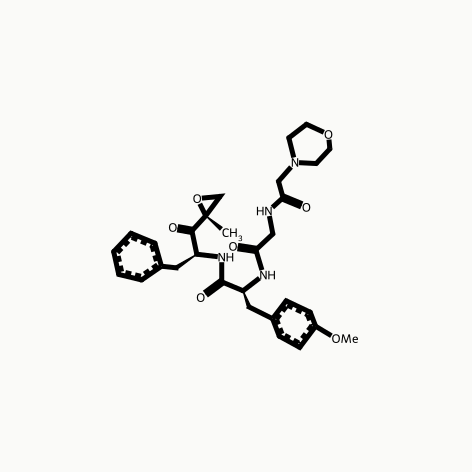 COc1ccc(C[C@H](NC(=O)CNC(=O)CN2CCOCC2)C(=O)N[C@@H](Cc2ccccc2)C(=O)[C@@]2(C)CO2)cc1